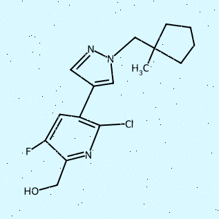 CC1(Cn2cc(-c3cc(F)c(CO)nc3Cl)cn2)CCCC1